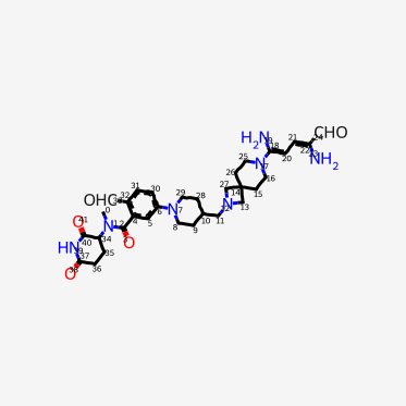 CN(C(=O)c1cc(N2CCC(CN3CC4(CCN(/C(N)=C/C=C(\N)C=O)CC4)C3)CC2)ccc1C=O)C1CCC(=O)NC1=O